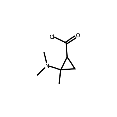 CN(C)C1(C)CC1C(=O)Cl